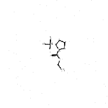 CCOC(=O)N1CCC[C@H]1C(O)(I)I